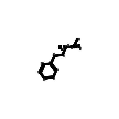 C[SiH2][SiH2]CCc1ccccc1